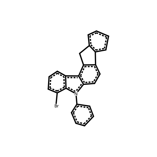 Brc1cccc2c3c4c(ccc3n(-c3ccccc3)c12)-c1ccccc1C4